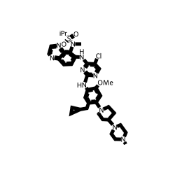 COc1cc(N2CCC(N3CCN(C)CC3)CC2)c(CC2CC2)cc1Nc1ncc(Cl)c(Nc2ccc3nccnc3c2N(C)S(=O)(=O)C(C)C)n1